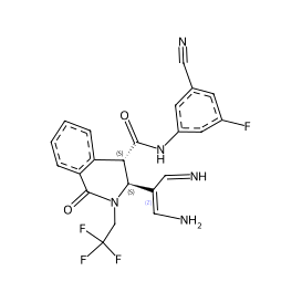 N#Cc1cc(F)cc(NC(=O)[C@H]2c3ccccc3C(=O)N(CC(F)(F)F)[C@@H]2/C(C=N)=C/N)c1